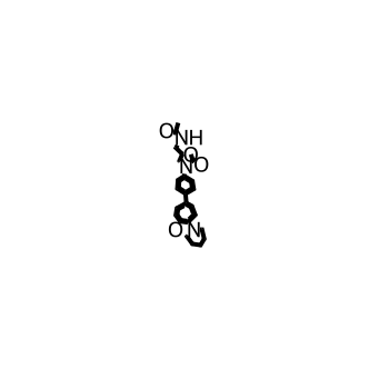 CC(=O)NCC1CN(c2ccc(-c3ccc(N4CCCCC4)c(=O)cc3)cc2)C(=O)O1